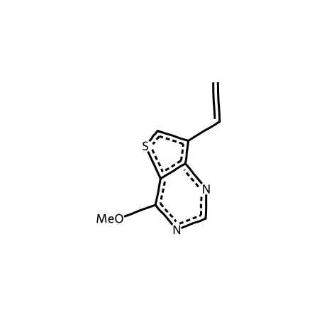 C=Cc1csc2c(OC)ncnc12